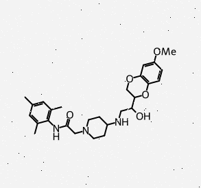 COc1ccc2c(c1)OCC(C(O)CNC1CCN(CC(=O)Nc3c(C)cc(C)cc3C)CC1)O2